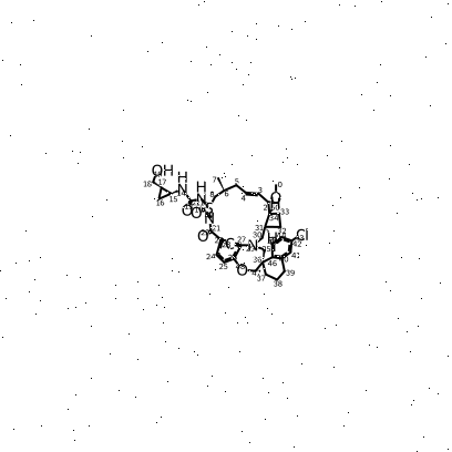 CO[C@H]1/C=C/C[C@H](C)CS(=O)(NC(=O)N[C@H]2C[C@H]2CO)=NC(=O)c2ccc3c(c2)N(C[C@@H]2CC[C@H]21)C[C@@]1(CCCc2cc(Cl)ccc21)CO3